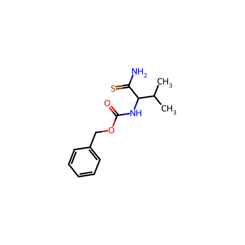 CC(C)C(NC(=O)OCc1ccccc1)C(N)=S